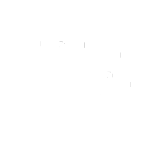 CCCC[CH2][Zr]([I])([I])[I].[I][Zr]([I])([I])[c]1ccccc1